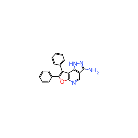 Nc1n[nH]c2c1cnc1oc(-c3ccccc3)c(-c3ccccc3)c12